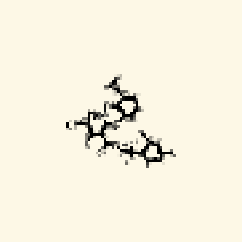 Cc1ccc(C(F)(F)CNC(=O)c2c(Sc3cccc(C4CC4)c3F)nnc(Cl)c2C)c(C)c1